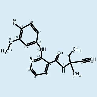 C#CC(C)(CC)NC(=O)c1cccnc1Nc1ccc(F)c(OC)c1